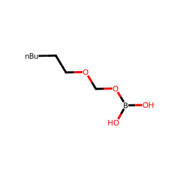 CCCCCCOCOB(O)O